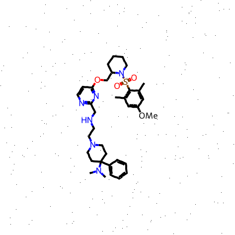 COc1cc(C)c(S(=O)(=O)N2CCCCC2COc2ccnc(CNCCN3CCC(c4ccccc4)(N(C)C)CC3)n2)c(C)c1